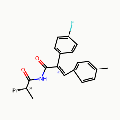 Cc1ccc(/C=C(/C(=O)NC(=O)[C@@H](C)C(C)C)c2ccc(F)cc2)cc1